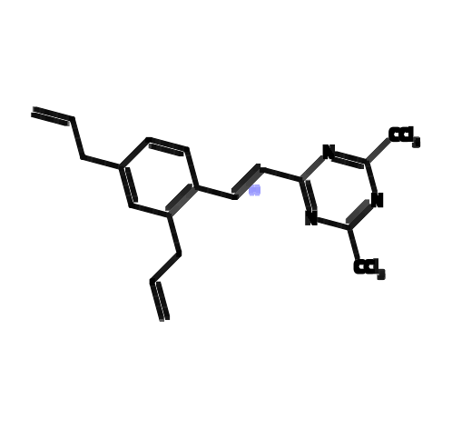 C=CCc1ccc(/C=C/c2nc(C(Cl)(Cl)Cl)nc(C(Cl)(Cl)Cl)n2)c(CC=C)c1